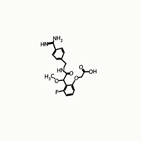 COC(C(=O)NCc1ccc(C(=N)N)cc1)c1c(F)cccc1OCC(=O)O